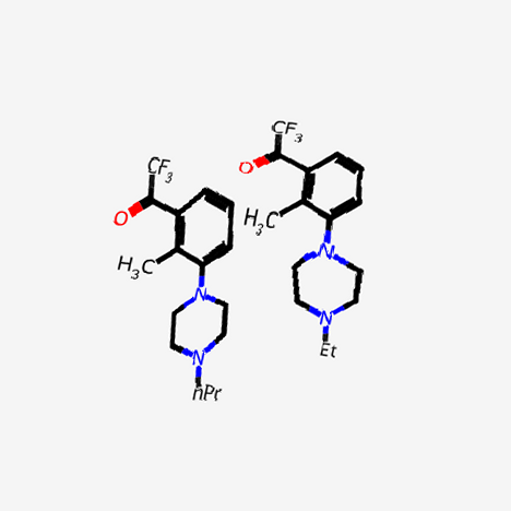 CCCN1CCN(c2cccc(C(=O)C(F)(F)F)c2C)CC1.CCN1CCN(c2cccc(C(=O)C(F)(F)F)c2C)CC1